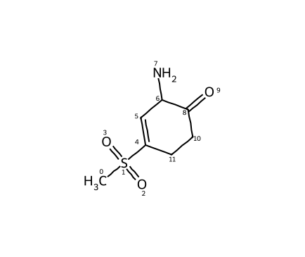 CS(=O)(=O)C1=CC(N)C(=O)CC1